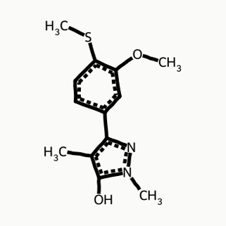 COc1cc(-c2nn(C)c(O)c2C)ccc1SC